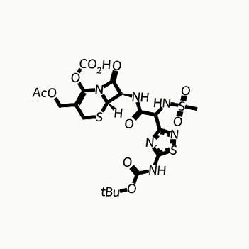 CC(=O)OCC1=C(OC(=O)O)N2C(=O)[C@@H](NC(=O)C(NS(C)(=O)=O)c3nsc(NC(=O)OC(C)(C)C)n3)[C@@H]2SC1